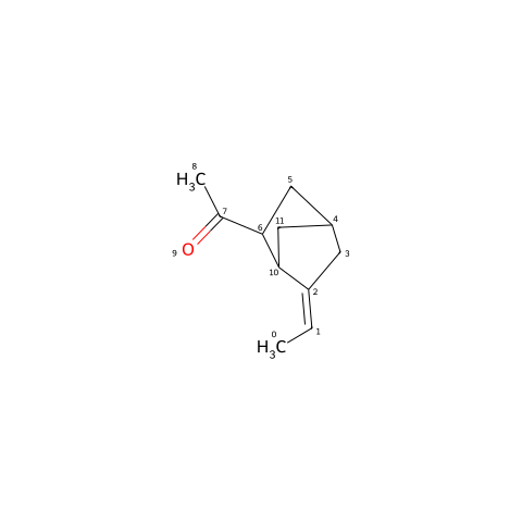 CC=C1CC2CC(C(C)=O)C1C2